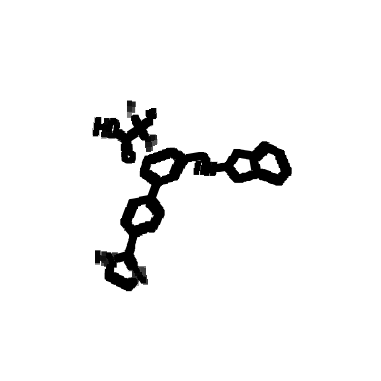 O=C(O)C(F)(F)F.c1cc(CNC2Cc3ccccc3C2)cc(-c2ccc(-c3ncc[nH]3)cc2)c1